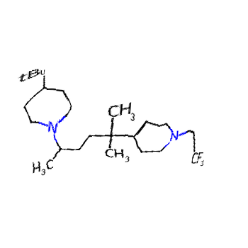 CC(CCC(C)(C)C1CCN(CC(F)(F)F)CC1)N1CCC(C(C)(C)C)CC1